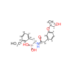 CC(CO)Oc1cccc(CC(=O)N[C@@H](Cc2cccc(C(=O)O)c2)B(O)O)c1